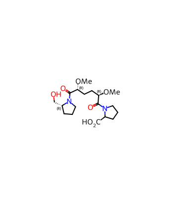 CO[C@H](CC[C@@H](OC)C(=O)N1CCC[C@@H]1CO)C(=O)N1CCCC1C(=O)O